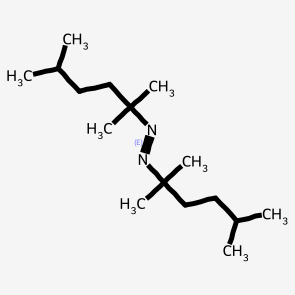 CC(C)CCC(C)(C)/N=N/C(C)(C)CCC(C)C